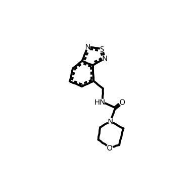 O=C(NCc1cccc2nsnc12)N1CCOCC1